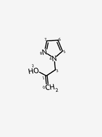 C=C(O)Cn1cccn1